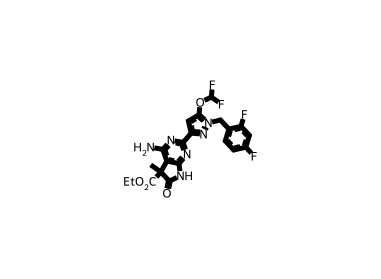 CCOC(=O)C1(C)C(=O)Nc2nc(-c3cc(OC(F)F)n(Cc4ccc(F)cc4F)n3)nc(N)c21